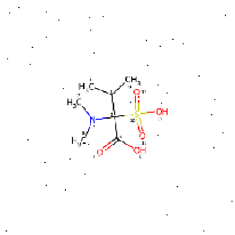 CC(C)C(C(=O)O)(N(C)C)S(=O)(=O)O